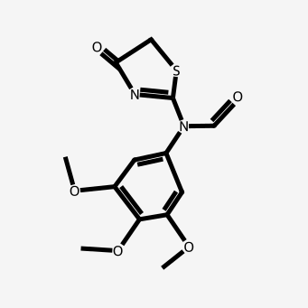 COc1cc(N(C=O)C2=NC(=O)CS2)cc(OC)c1OC